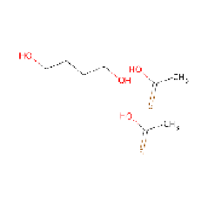 CC(O)=S.CC(O)=S.OCCCCO